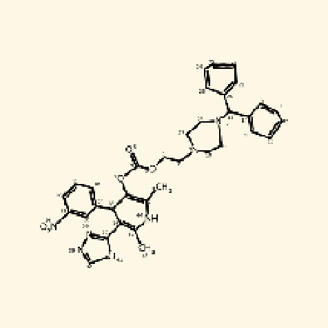 CC1=C(OC(=O)OCCN2CCN(C(c3ccccc3)c3ccccc3)CC2)C(c2cccc([N+](=O)[O-])c2)C(c2nnco2)=C(C)N1